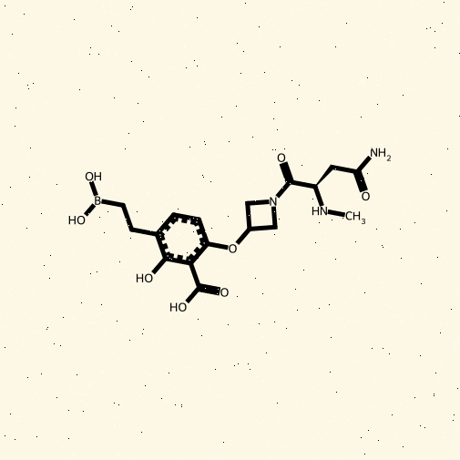 CN[C@H](CC(N)=O)C(=O)N1CC(Oc2ccc(CCB(O)O)c(O)c2C(=O)O)C1